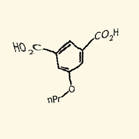 CCCOc1cc(C(=O)O)cc(C(=O)O)c1